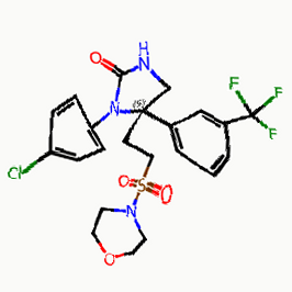 O=C1NC[C@](CCS(=O)(=O)N2CCOCC2)(c2cccc(C(F)(F)F)c2)N1c1ccc(Cl)cc1